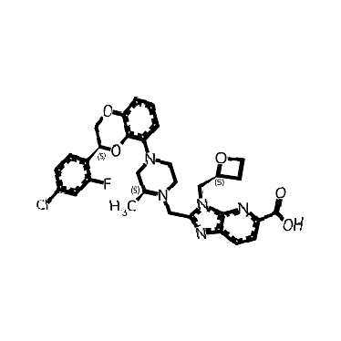 C[C@H]1CN(c2cccc3c2O[C@@H](c2ccc(Cl)cc2F)CO3)CCN1Cc1nc2ccc(C(=O)O)nc2n1C[C@@H]1CCO1